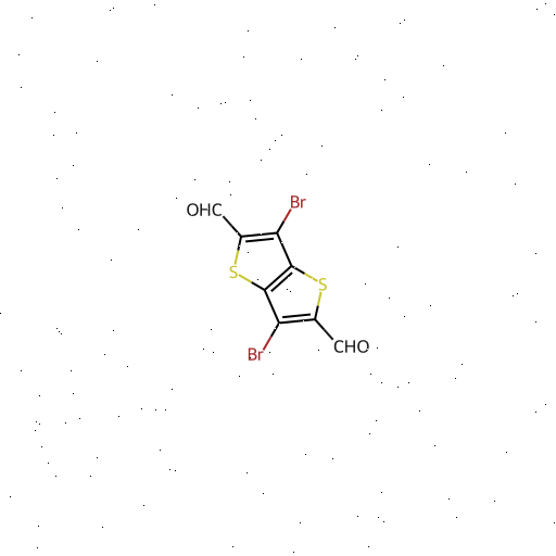 O=Cc1sc2c(Br)c(C=O)sc2c1Br